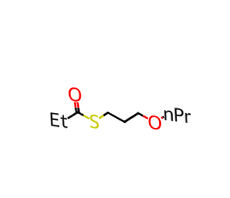 [CH2]CCOCCCSC(=O)CC